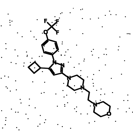 FC(F)(F)Oc1ccc(-n2nc(N3CCN(CCN4CCOCC4)CC3)cc2C2CCC2)cc1